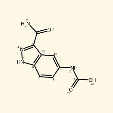 NC(=O)c1n[nH]c2ccc(NC(=O)O)cc12